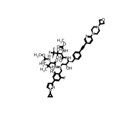 COC(=O)N[C@H](C(=O)NN(Cc1c(F)cc(-c2ccn(C3CC3)n2)cc1F)C[C@H](O)[C@H](Cc1ccc(C#Cc2ccc(N3CCN(C4COC4)CC3)nc2)cc1)NC(=O)[C@@H](NC(=O)OC)C(C)(C)C(F)(F)F)C(C)(C)C